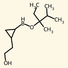 CCC(C)(OBC1CC1CCO)C(C)C